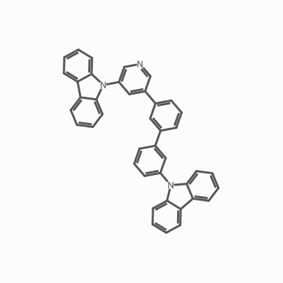 c1cc(-c2cccc(-n3c4ccccc4c4ccccc43)c2)cc(-c2cncc(-n3c4ccccc4c4ccccc43)c2)c1